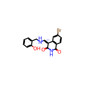 O=C1NC(=O)c2ccc(Br)cc2/C1=C/NCc1ccccc1O